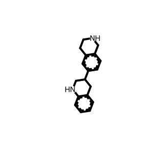 c1ccc2c(c1)CC(c1ccc3c(c1)CCNC3)CN2